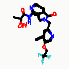 Cc1cc(CN2Cc3c(ccnc3NC(=O)C(C)O)C2=O)ncc1OCC(F)(F)F